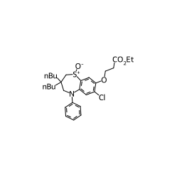 CCCCC1(CCCC)CN(c2ccccc2)c2cc(Cl)c(OCCC(=O)OCC)cc2[S+]([O-])C1